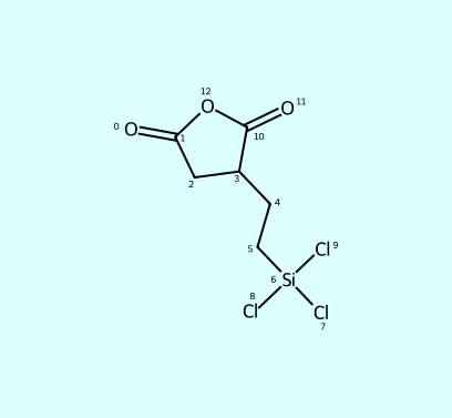 O=C1CC(CC[Si](Cl)(Cl)Cl)C(=O)O1